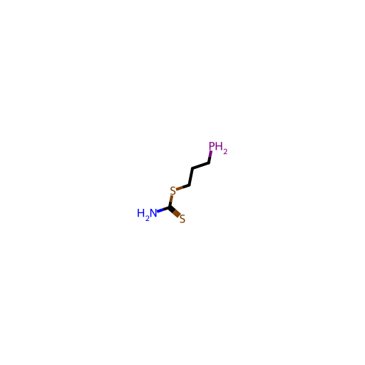 NC(=S)SCCCP